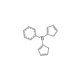 C1=CC[C]([Ti]([C]2=CC=CC2)[c]2ccccc2)=C1